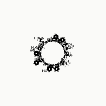 CCCC[C@H]1C(=O)N[C@H](CC(=O)O)C(=O)N[C@@H](CC(O)=P)C(=O)N[C@@H](C(C)C)C(=O)N(C)[C@@H](Cc2ccccc2)C(=O)N[C@@H](Cc2ccc(O)cc2)C(=O)N(C)CC(=O)N[C@@H](Cc2c[nH]c3ccccc23)C(=O)N[C@@H](Cc2ccc(O)cc2)C(=O)N[C@@H](CC(C)C)C(=O)N[C@H](C(=O)NCC(N)=O)CSCC(=O)N[C@@H](Cc2ccccc2)C(=O)N(C)[C@@H](Cc2ccccc2)C(=O)N1C